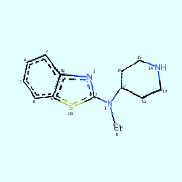 CCN(c1nc2ccccc2s1)C1CCNCC1